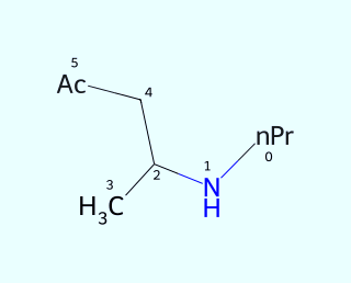 CCCNC(C)CC(C)=O